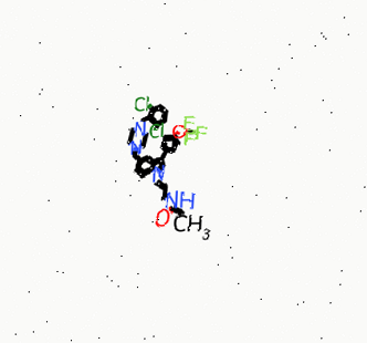 CCC(=O)NCCCn1cc(-c2ccc(OC(F)(F)F)cc2)c2cc(CN3CCN(Cc4c(Cl)cccc4Cl)CC3)ccc21